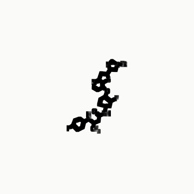 CCn1cnc(-c2cc3nccc(Oc4ccc(NC(=O)CC(Nc5ccc(F)cc5)C(F)(F)F)cc4F)c3s2)c1